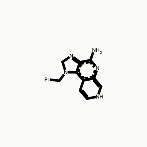 CC(C)CN1CN=c2c(N)nc3c(c21)C=CNC=3